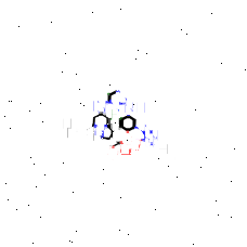 Cn1nnn(-c2cc(Nc3ncc(F)c(N[C@@H]4C[C@H]5CCCN5C(C)(C)C4)n3)c(F)cc2OC(C)(C)CO)c1=O